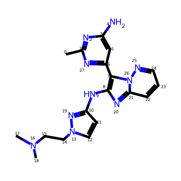 Cc1nc(N)cc(-c2c(Nc3ccn(CCN(C)C)n3)nc3cccnn23)n1